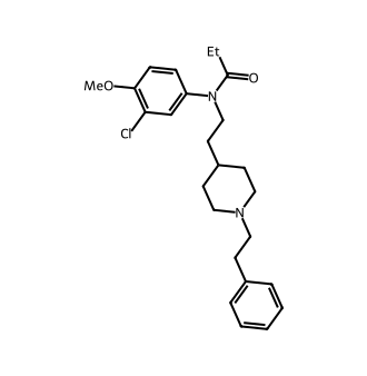 CCC(=O)N(CCC1CCN(CCc2ccccc2)CC1)c1ccc(OC)c(Cl)c1